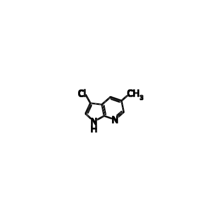 Cc1cnc2[nH]cc(Cl)c2c1